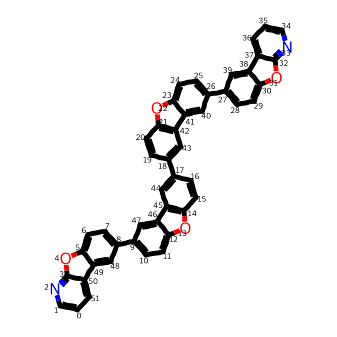 c1cnc2oc3ccc(-c4ccc5oc6ccc(-c7ccc8oc9ccc(-c%10ccc%11oc%12ncccc%12c%11c%10)cc9c8c7)cc6c5c4)cc3c2c1